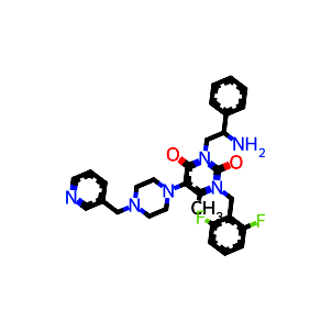 Cc1c(N2CCN(Cc3cccnc3)CC2)c(=O)n(CC(N)c2ccccc2)c(=O)n1Cc1c(F)cccc1F